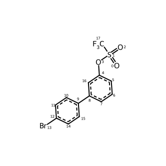 O=S(=O)(Oc1cccc(-c2ccc(Br)cc2)c1)C(F)(F)F